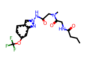 CCCC(=O)NCC(=O)N(C)CC(=O)Nn1cc2ccc(OC(F)(F)F)cc2n1